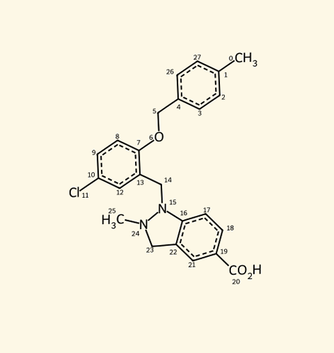 Cc1ccc(COc2ccc(Cl)cc2CN2c3ccc(C(=O)O)cc3CN2C)cc1